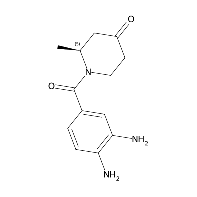 C[C@H]1CC(=O)CCN1C(=O)c1ccc(N)c(N)c1